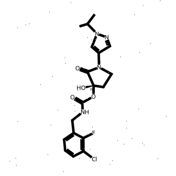 CC(C)n1cc(N2CC[C@](O)(OC(=O)NCc3cccc(Cl)c3F)C2=O)cn1